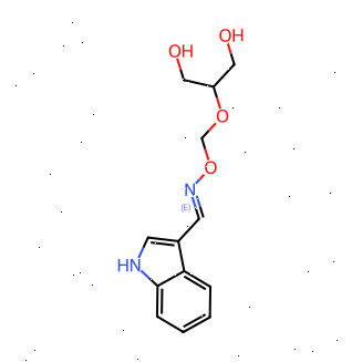 OCC(CO)OCO/N=C/c1c[nH]c2ccccc12